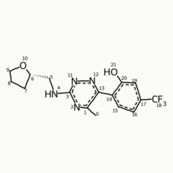 Cc1nc(NC[C@@H]2CCCO2)nnc1-c1ccc(C(F)(F)F)cc1O